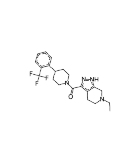 CCN1CCc2c(C(=O)N3CCC(c4ccccc4C(F)(F)F)CC3)n[nH]c2C1